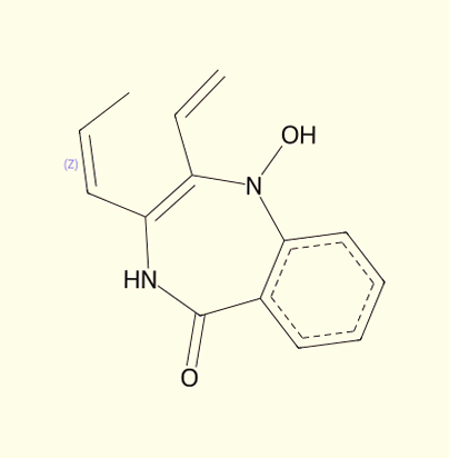 C=CC1=C(/C=C\C)NC(=O)c2ccccc2N1O